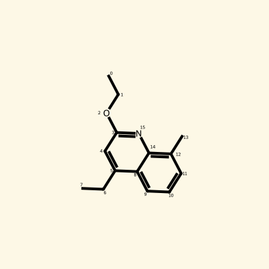 CCOc1cc(CC)c2cccc(C)c2n1